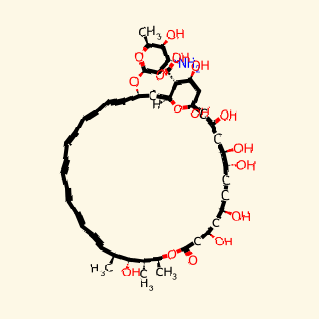 C[C@@H]1[C@H](O)[C@@H](C)/C=C/C=C/C=C/C=C/C=C/C=C/C=C/[C@H](O[C@@H]2C[C@@H](N)[C@H](O)[C@H](C)O2)C[C@@H]2O[C@](O)(CC(O)C[C@@H](O)[C@H](O)CC[C@@H](O)C[C@@H](O)CC(=O)O[C@H]1C)C[C@H](O)[C@H]2C(=O)O